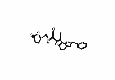 Cc1c(C(=O)NC[C@H]2CCC(=O)O2)oc2c1-c1nn(Cc3ccccn3)cc1CC2